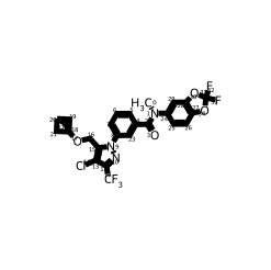 CN(C(=O)c1cccc(-n2nc(C(F)(F)F)c(Cl)c2COC23CC(C2)C3)c1)c1ccc2c(c1)OC(F)(F)O2